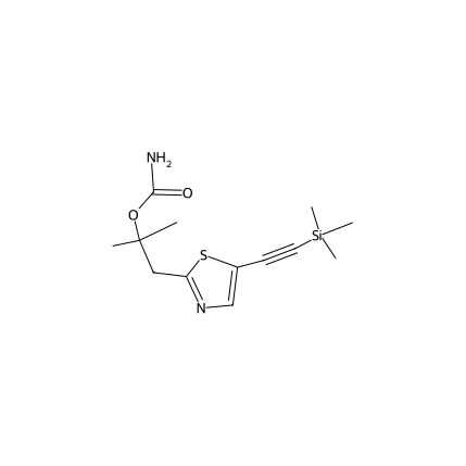 CC(C)(Cc1ncc(C#C[Si](C)(C)C)s1)OC(N)=O